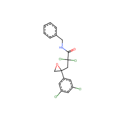 O=C(NCc1ccccc1)C(Cl)(Cl)CC1(c2cc(Cl)cc(Cl)c2)CO1